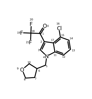 O=C(c1cn(CC2CCOC2)c2cccc(Cl)c12)C(F)(F)F